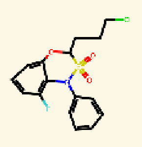 O=S1(=O)C(CCCCl)Oc2cccc(F)c2N1c1ccccc1